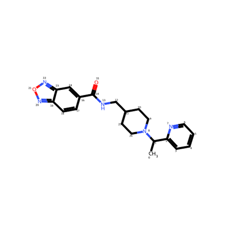 CC(c1ccccn1)N1CCC(CNC(=O)c2ccc3nonc3c2)CC1